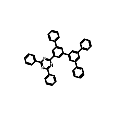 c1ccc(-c2cc(-c3ccccc3)cc(-c3cc(-c4ccccc4)cc(-c4nc(-c5ccccc5)nc(-c5ccccc5)n4)c3)c2)cc#1